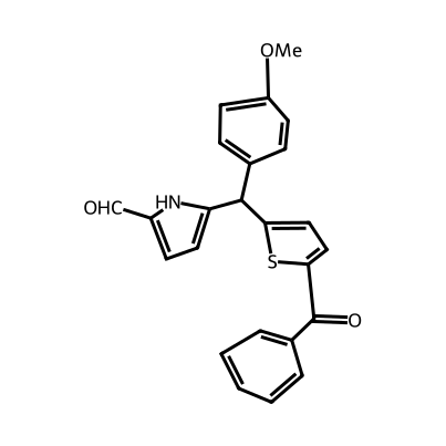 COc1ccc(C(c2ccc(C=O)[nH]2)c2ccc(C(=O)c3ccccc3)s2)cc1